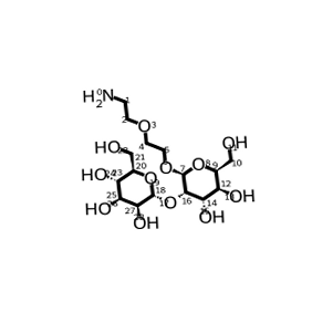 NCCOCCO[C@H]1O[C@@H](CO)[C@@H](O)[C@H](O)[C@@H]1O[C@H]1O[C@H](CO)[C@@H](O)[C@H](O)[C@@H]1O